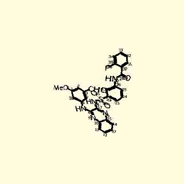 COc1cc(C=O)cc(Nc2nc3ccccc3nc2NS(=O)(=O)c2cccc(NC(=O)c3ccccc3F)c2)c1